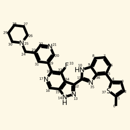 Cc1ccc(-c2cccc3[nH]c(-c4n[nH]c5cnc(-c6cncc(CN7CCCCC7)c6)c(F)c45)nc23)s1